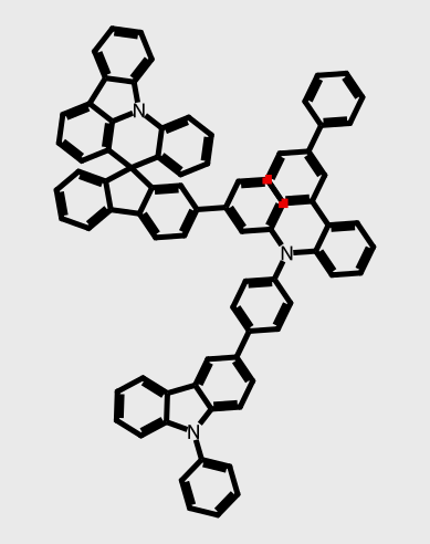 c1ccc(-c2cccc(-c3ccccc3N(c3ccc(-c4ccc5c(c4)c4ccccc4n5-c4ccccc4)cc3)c3cccc(-c4ccc5c(c4)C4(c6ccccc6-5)c5ccccc5-n5c6ccccc6c6cccc4c65)c3)c2)cc1